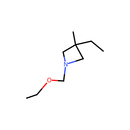 CCOCN1CC(C)(CC)C1